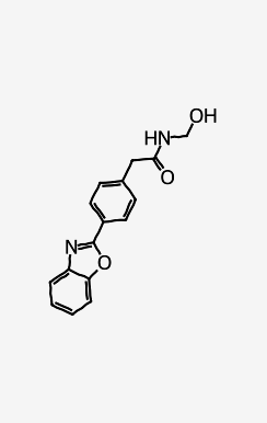 O=C(Cc1ccc(-c2nc3ccccc3o2)cc1)NCO